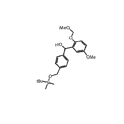 COCOc1ccc(OC)cc1C(O)c1ccc(CO[Si](C)(C)C(C)(C)C)cc1